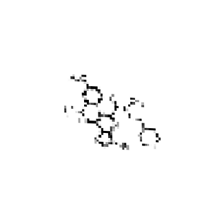 COc1cccc(C(C)Nc2nc(C(=O)N(C)CCN3CCOCC3)nc3c(C(C)C)cnn23)c1